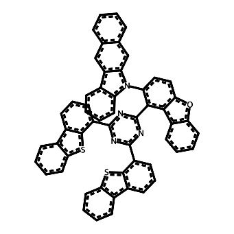 c1ccc2cc3c(cc2c1)c1ccccc1n3-c1ccc2oc3ccccc3c2c1-c1nc(-c2cccc3c2sc2ccccc23)nc(-c2cccc3c2sc2ccccc23)n1